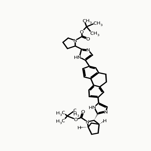 CC(C)(C)OC(=O)N1CCCC1c1ncc(-c2ccc3c(c2)CCc2cc(-c4cnc([C@@H]5[C@H]6CC[C@H](C6)N5C(=O)OC(C)(C)C)[nH]4)ccc2-3)[nH]1